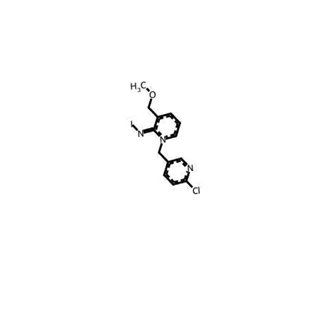 COCc1cccn(Cc2ccc(Cl)nc2)/c1=N/I